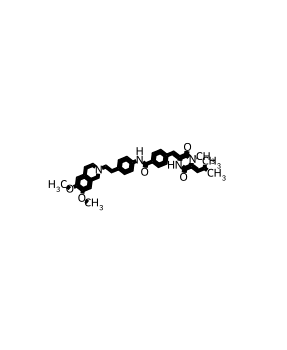 COc1cc2c(cc1OC)CN(CCc1ccc(NC(=O)c3ccc(C=c4[nH]c(=O)c(=CC(C)C)n(C)c4=O)cc3)cc1)CC2